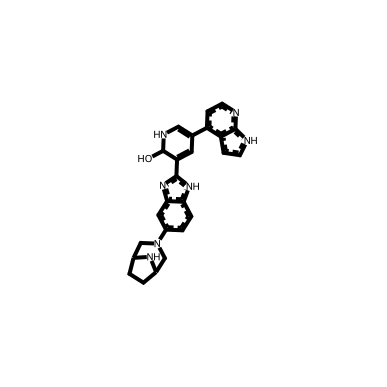 OC1NC=C(c2ccnc3[nH]ccc23)C=C1c1nc2cc(N3CC4CCC(C3)N4)ccc2[nH]1